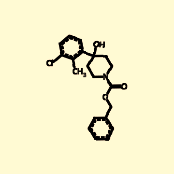 Cc1c(Cl)cccc1C1(O)CCN(C(=O)OCc2ccccc2)CC1